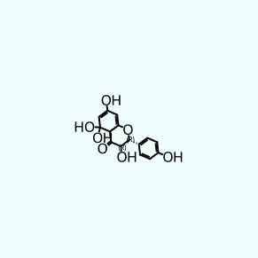 O=C1C2C(=CC(O)=CC2(O)O)O[C@H](c2ccc(O)cc2)[C@H]1O